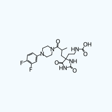 CC(CC1(CCNC(=O)O)NC(=O)NC1=O)C(=O)N1CCN(c2ccc(F)c(F)c2)CC1